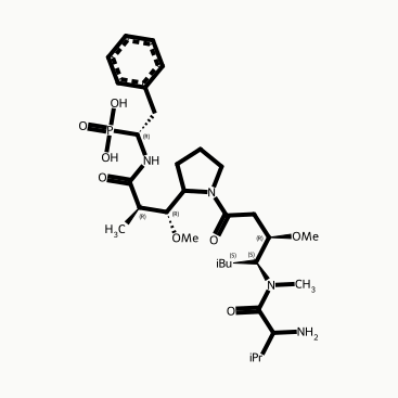 CC[C@H](C)[C@@H]([C@@H](CC(=O)N1CCCC1[C@H](OC)[C@@H](C)C(=O)N[C@@H](Cc1ccccc1)P(=O)(O)O)OC)N(C)C(=O)C(N)C(C)C